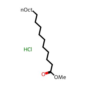 CCCCCCCCCCCCCCCCCC(=O)OC.Cl